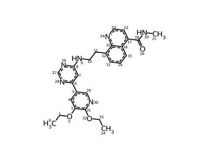 CCOc1cc(-c2cc(NCCc3cccc4c(C(=O)NC)ccnc34)ncn2)cnc1OCC